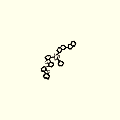 c1ccc(-c2nc(-c3ccc4ccc(-c5ccc6ccccc6c5)cc4c3)nc(-c3cccc4oc5c(-c6cccc7c6oc6ccccc67)cccc5c34)n2)cc1